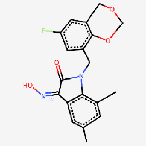 Cc1cc(C)c2c(c1)/C(=N/O)C(=O)N2Cc1cc(F)cc2c1OCOC2